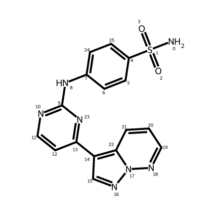 NS(=O)(=O)c1ccc(Nc2nccc(-c3cnn4ncccc34)n2)cc1